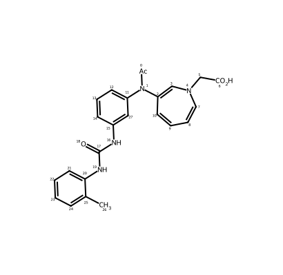 CC(=O)N(C1=CN(CC(=O)O)C=CC=C1)c1cccc(NC(=O)Nc2ccccc2C)c1